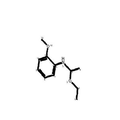 CCOC(C)Nc1ccccc1OC